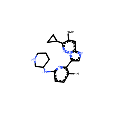 COc1cc2ncc(-c3nc(N[C@@H]4CCCNC4)ccc3C#N)n2nc1C1CC1